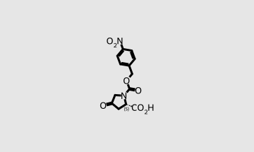 O=C1C[C@@H](C(=O)O)N(C(=O)OCc2ccc([N+](=O)[O-])cc2)C1